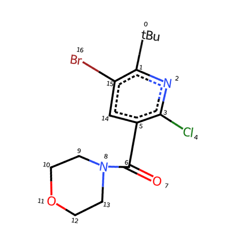 CC(C)(C)c1nc(Cl)c(C(=O)N2CCOCC2)cc1Br